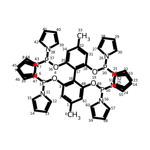 Cc1cc(OP(n2cccc2)n2cccc2)c(-c2c(OP(n3cccc3)n3cccc3)cc(C)cc2OP(n2cccc2)n2cccc2)c(OP(n2cccc2)n2cccc2)c1